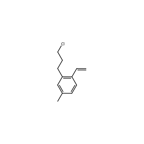 C=Cc1ccc(C)cc1CCCCl